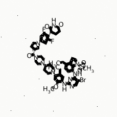 CCc1cc(Nc2ncc(Br)c(Nc3ccc(CC)c4ccn(S(C)(=O)=O)c34)n2)c(OC)cc1N1CCC(N2CCN(C(=O)[C@@H]3CCN(c4cc(F)c([C@H]5CCC(=O)NC5=O)c(F)c4)C3)CC2)CC1